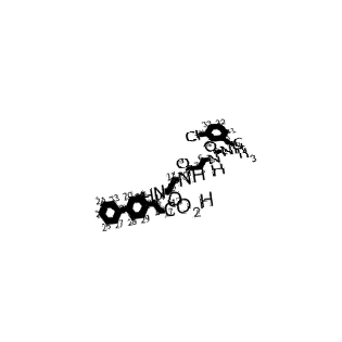 CC(NC(=O)NCCC(=O)NCC(=O)NC(CC(=O)O)c1ccc(-c2ccccc2)cc1)c1cccc(Cl)c1